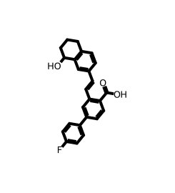 O=C(O)c1ccc(-c2ccc(F)cc2)cc1C=Cc1ccc2c(c1)C(O)CCC2